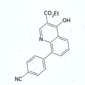 CCOC(=O)c1cnc2c(-c3ccc(C#N)cc3)cccc2c1O